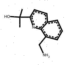 CC(C)(O)c1ccc2cccc(CN)c2n1